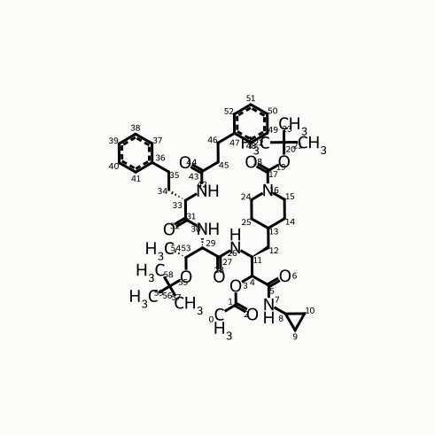 CC(=O)OC(C(=O)NC1CC1)[C@H](CC1CCN(C(=O)OC(C)(C)C)CC1)NC(=O)[C@@H](NC(=O)[C@H](CCc1ccccc1)NC(=O)CCc1ccccc1)[C@@H](C)OC(C)(C)C